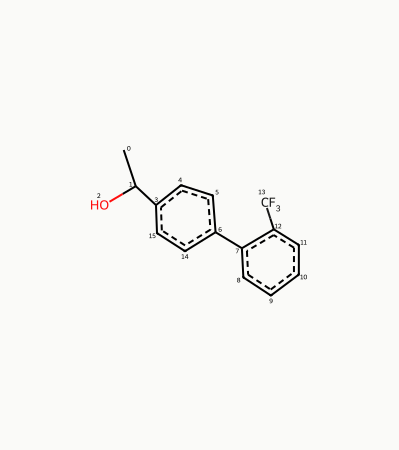 CC(O)c1ccc(-c2ccccc2C(F)(F)F)cc1